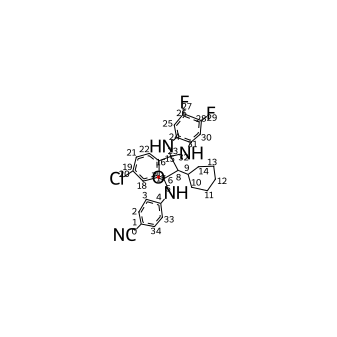 N#Cc1ccc(NC(=O)C(C2CCCCC2)C2(c3ccc(Cl)cc3)Nc3cc(F)c(F)cc3N2)cc1